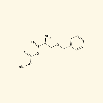 CCCCOC(=O)OC(=O)[C@@H](N)COCc1ccccc1